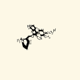 CC1CN(c2c(C#N)c(OCC3CCCN3C)nc3c2CCNC3)CCN1C(=O)O